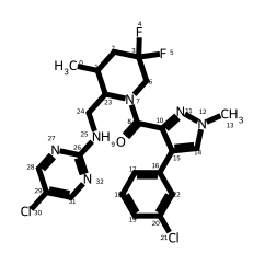 CC1CC(F)(F)CN(C(=O)c2nn(C)cc2-c2cccc(Cl)c2)C1CNc1ncc(Cl)cn1